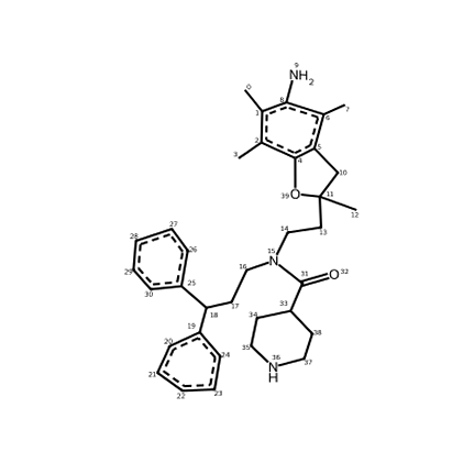 Cc1c(C)c2c(c(C)c1N)CC(C)(CCN(CCC(c1ccccc1)c1ccccc1)C(=O)C1CCNCC1)O2